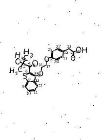 CC(C)(C)C(=O)c1sc2ccccc2c1OCCOc1ccc(CC(=O)O)cc1